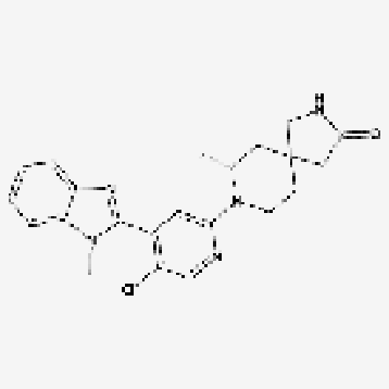 C[C@@H]1CC2(CCN1c1cc(-c3nc4ccccc4n3C)c(Cl)cn1)CNC(=O)C2